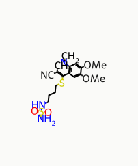 C=Nc1cc(OC)c(OC)cc1/C(SCCCCNS(N)(=O)=O)=C(\C)C#N